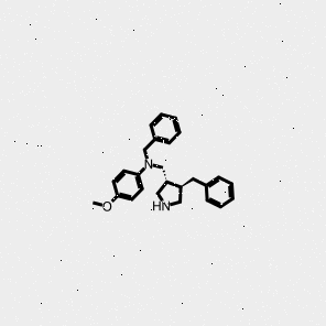 COc1ccc(N(Cc2ccccc2)C[C@H]2CNC[C@@H]2Cc2ccccc2)cc1